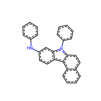 c1ccc(Nc2ccc3c4c5ccccc5ccc4n(-c4ccccc4)c3c2)cc1